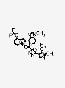 Cc1c(-c2nnc(C(=O)N3CCc4c(ncn4C)[C@H]3c3cc4c(OC(F)F)cccn4n3)o2)cnn1C